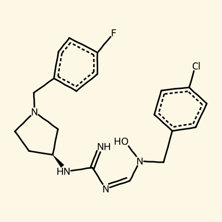 N=C(/N=C\N(O)Cc1ccc(Cl)cc1)N[C@H]1CCN(Cc2ccc(F)cc2)C1